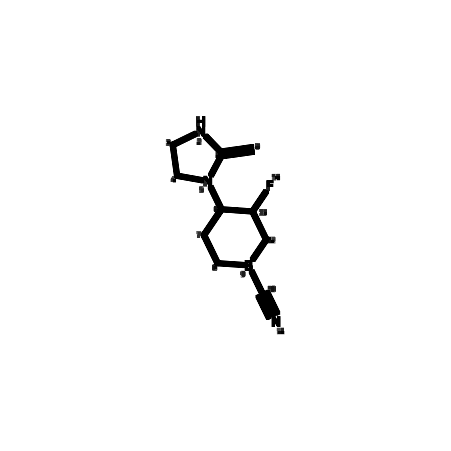 C=C1NCCN1C1CCB(C#N)CC1F